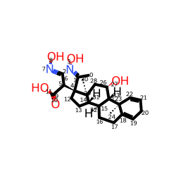 C/C(=N\O)[C@@]1(C(C=NO)C(=O)O)CC[C@H]2[C@@H]3CCC4=CCC=C[C@]4(C)[C@H]3[C@@H](O)C[C@@]21C